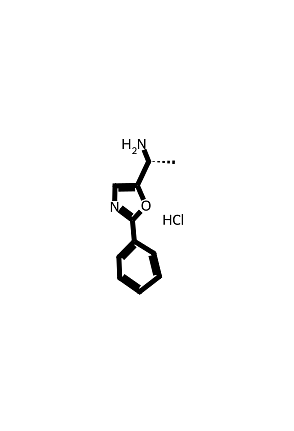 C[C@@H](N)c1cnc(-c2ccccc2)o1.Cl